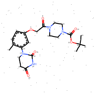 Cc1ccc(OCC(=O)N2CCN(C(=O)OC(C)(C)C)CC2)cc1N1CCC(=O)NC1=O